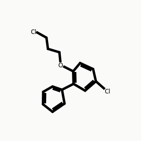 ClCCCOc1ccc(Cl)cc1-c1ccccc1